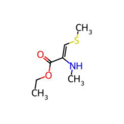 CCOC(=O)/C(=C/SC)NC